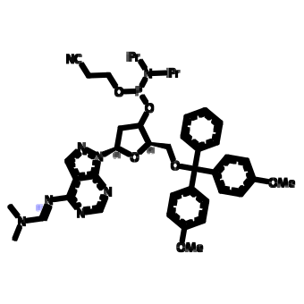 COc1ccc(C(OC[C@H]2O[C@@H](n3ncc4c(/N=C/N(C)C)ncnc43)CC2OP(OCCC#N)N(C(C)C)C(C)C)(c2ccccc2)c2ccc(OC)cc2)cc1